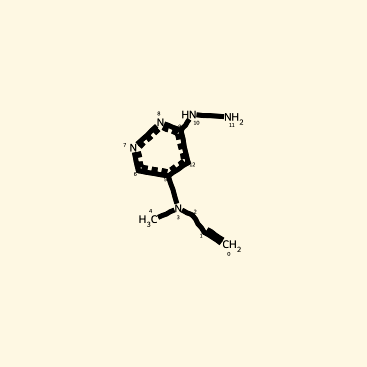 C=CCN(C)c1cnnc(NN)c1